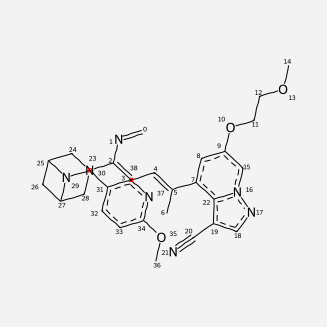 C=N/C(=C\C=C(/C)c1cc(OCCOC)cn2ncc(C#N)c12)N1CC2CC(C1)N2Cc1ccc(OC)nc1